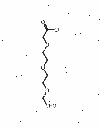 O=CCOCCOCCOCC(=O)Cl